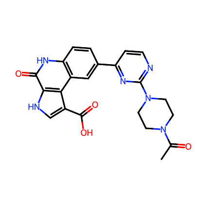 CC(=O)N1CCN(c2nccc(-c3ccc4[nH]c(=O)c5[nH]cc(C(=O)O)c5c4c3)n2)CC1